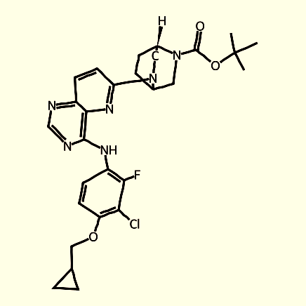 CC(C)(C)OC(=O)N1CC2CC[C@H]1CN2c1ccc2ncnc(Nc3ccc(OCC4CC4)c(Cl)c3F)c2n1